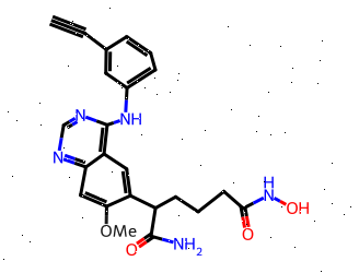 C#Cc1cccc(Nc2ncnc3cc(OC)c(C(CCCC(=O)NO)C(N)=O)cc23)c1